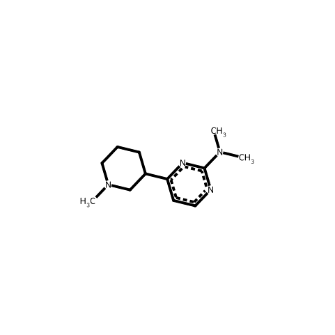 CN1CCCC(c2ccnc(N(C)C)n2)C1